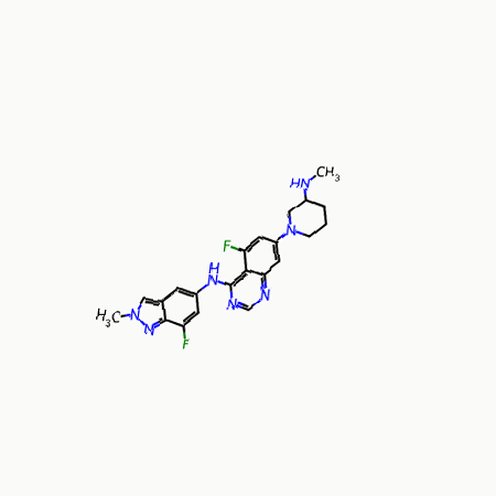 CNC1CCCN(c2cc(F)c3c(Nc4cc(F)c5nn(C)cc5c4)ncnc3c2)C1